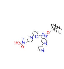 C[Si](C)(C)CCOCn1nc(-c2cccc(N3CCC(CNC(=O)O)CC3)n2)c2cc(-c3cccnc3)ncc21